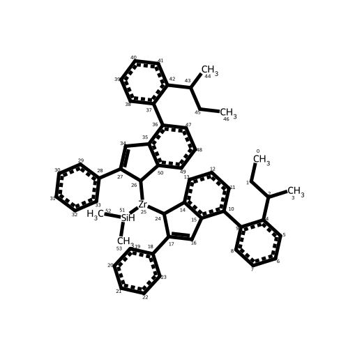 CCC(C)c1ccccc1-c1cccc2c1C=C(c1ccccc1)[CH]2[Zr]([CH]1C(c2ccccc2)=Cc2c(-c3ccccc3C(C)CC)cccc21)[SiH](C)C